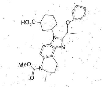 COC(=O)N1c2ccc3c(nc(C(C)Oc4ccccc4)n3C3CCCC(C(=O)O)C3)c2CC[C@@H]1C